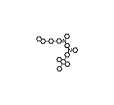 c1ccc(-c2c3ccccc3c(-c3ccc(N(c4ccccc4)c4ccc(N(c5ccccc5)c5ccc(-c6ccc(-c7ccc8ccccc8c7)cc6)cc5)cc4)cc3)c3ccccc23)cc1